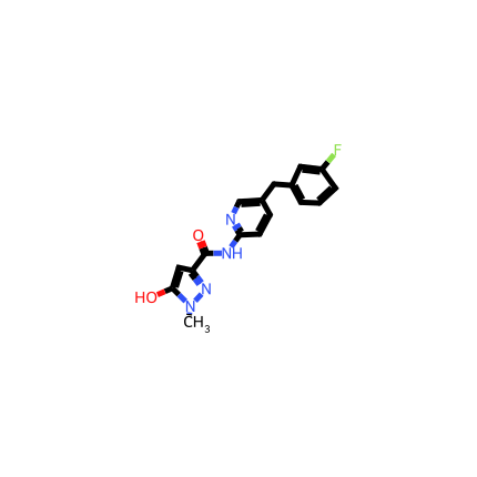 Cn1nc(C(=O)Nc2ccc(Cc3cccc(F)c3)cn2)cc1O